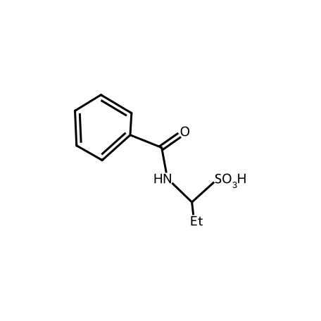 CCC(NC(=O)c1ccccc1)S(=O)(=O)O